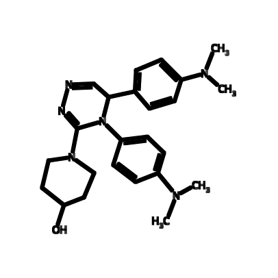 CN(C)c1ccc(C2C=NN=C(N3CCC(O)CC3)N2c2ccc(N(C)C)cc2)cc1